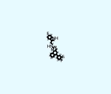 Fc1ccc2c(CCNc3ncc4c(n3)-c3ccccc3C(c3ccc(F)c(F)c3)C4)c[nH]c2c1